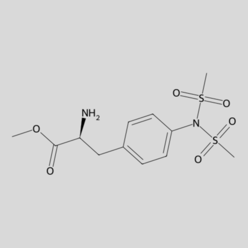 COC(=O)[C@@H](N)Cc1ccc(N(S(C)(=O)=O)S(C)(=O)=O)cc1